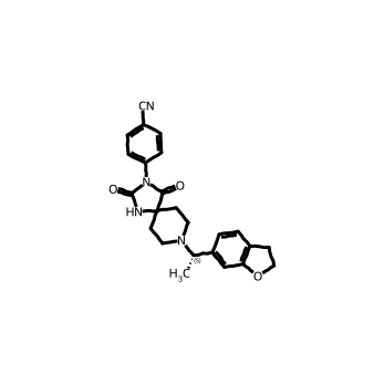 C[C@@H](c1ccc2c(c1)OCC2)N1CCC2(CC1)NC(=O)N(c1ccc(C#N)cc1)C2=O